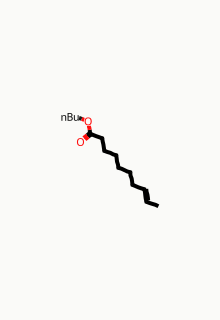 CC=CCCCCCCC(=O)OCCCC